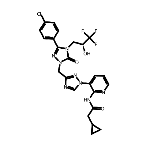 O=C(CC1CC1)Nc1ncccc1-n1cnc(Cn2nc(-c3ccc(Cl)cc3)n(C[C@H](O)C(F)(F)F)c2=O)n1